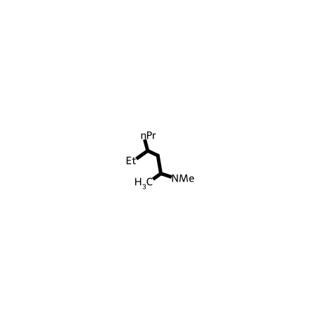 CCCC(CC)CC(C)NC